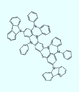 c1ccc(N2c3ccccc3B3c4cc5c(cc4Sc4cc(-n6c7ccccc7c7ccccc76)cc2c43)N(c2ccccc2)c2cc(-n3c4ccccc4c4ccccc43)cc3c2B5c2ccccc2N3c2ccccc2)cc1